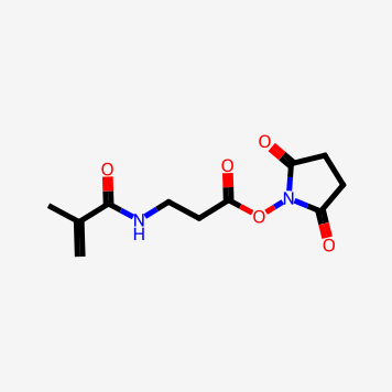 C=C(C)C(=O)NCCC(=O)ON1C(=O)CCC1=O